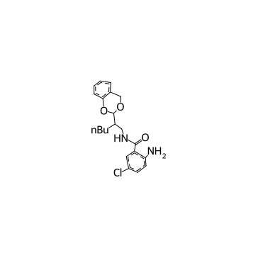 CCCCC(CNC(=O)c1cc(Cl)ccc1N)C1OCc2ccccc2O1